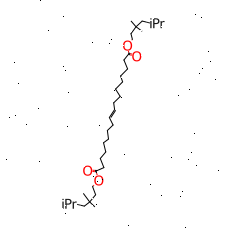 CC(C)CC(C)(C)CCOC(=O)CCCCCCC/C=C/CCCCCCCC(=O)OCCC(C)(C)CC(C)C